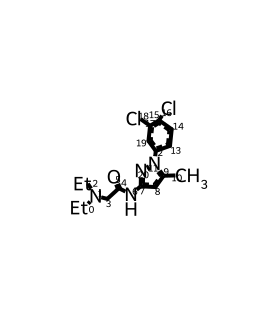 CCN(CC)CC(=O)Nc1cc(C)n(-c2ccc(Cl)c(Cl)c2)n1